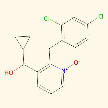 [O-][n+]1cccc(C(O)C2CC2)c1Cc1ccc(Cl)cc1Cl